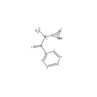 O=C(c1ccccc1)N(C1=NN1)C(F)(F)F